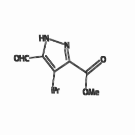 COC(=O)c1n[nH]c(C=O)c1C(C)C